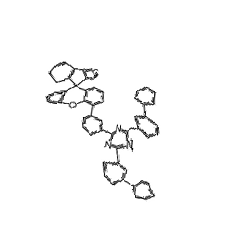 C1=CC2=C(CC1)C1(c3ccccc3Oc3c(-c4cccc(-c5nc(-c6cccc(-c7ccccc7)c6)nc(-c6cccc(-c7ccccc7)c6)n5)c4)cccc31)c1ccccc12